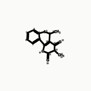 CC1Sc2ccccc2C2=C1C(=O)C(C)C(=O)O2